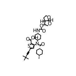 CC(C)(C)C#Cc1cc(N(C(=O)[C@H]2CC[C@H](C)CC2)[C@H]2CC[C@H](NC(=O)O[C@H]3CO[C@H]4OCC[C@H]43)CC2)c(C(=O)O)s1